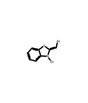 CCN1/C(=C/C(C)=O)Sc2ccccc21